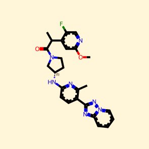 COc1cc(C(C)C(=O)N2CC[C@H](Nc3ccc(-c4nc5ccccn5n4)c(C)n3)C2)c(F)cn1